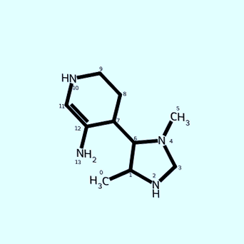 CC1NCN(C)C1C1CCNC=C1N